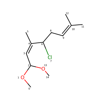 COC(C=C(C)C(Cl)CC=C(C)C)OC